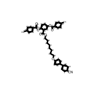 N#Cc1ccc(-c2ccc(OCCCCCCCCOC(=O)c3cc(OC(=O)c4ccc(I)cc4)ccc3OC(=O)c3ccc(I)cc3)cc2)cc1